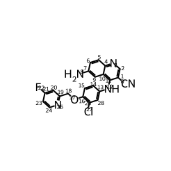 N#Cc1cnc2ccc(N)cc2c1Nc1ccc(OCc2cc(F)ccn2)c(Cl)c1